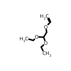 C=COCC(OCC)OCC